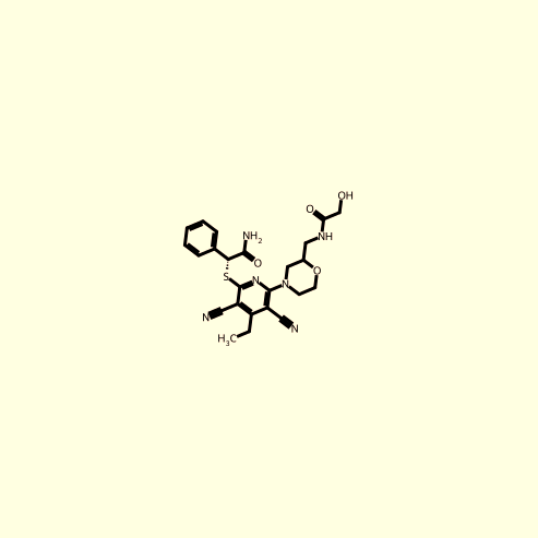 CCc1c(C#N)c(S[C@@H](C(N)=O)c2ccccc2)nc(N2CCOC(CNC(=O)CO)C2)c1C#N